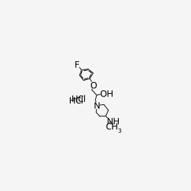 CNC1CCN(CC(O)COc2ccc(F)cc2)CC1.Cl.Cl